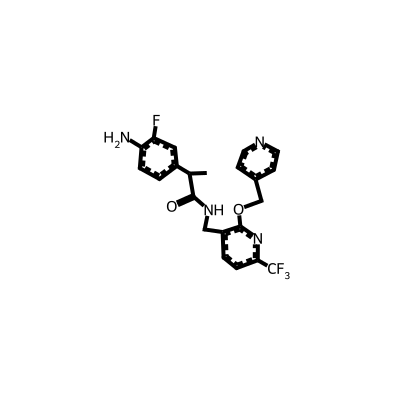 CC(C(=O)NCc1ccc(C(F)(F)F)nc1OCc1ccncc1)c1ccc(N)c(F)c1